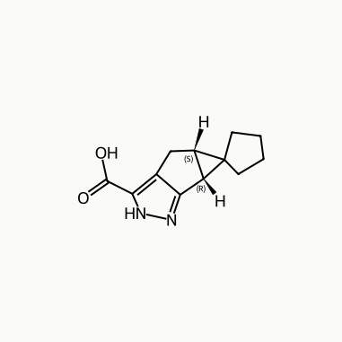 O=C(O)c1[nH]nc2c1C[C@H]1[C@@H]2C12CCCC2